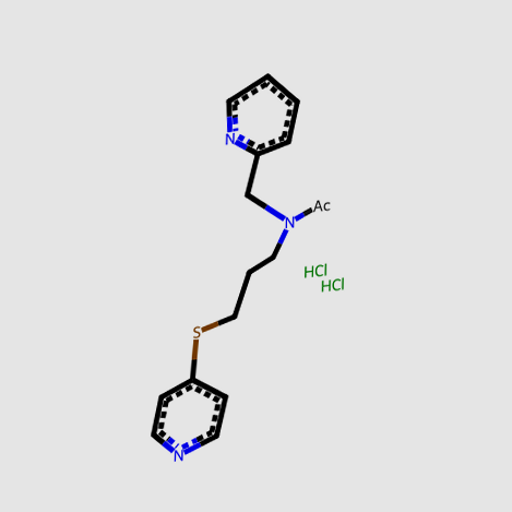 CC(=O)N(CCCSc1ccncc1)Cc1ccccn1.Cl.Cl